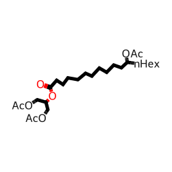 CCCCCCC(CCCCCCCCCCC(=O)OC(COC(C)=O)COC(C)=O)OC(C)=O